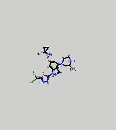 CC1CN(c2cc(SNC3(C)CC3)cc3c2cnn3-c2nnc(C(F)F)s2)CCN1